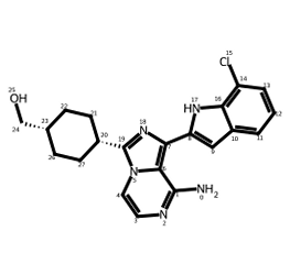 Nc1nccn2c1c(-c1cc3cccc(Cl)c3[nH]1)nc2[C@H]1CC[C@@H](CO)CC1